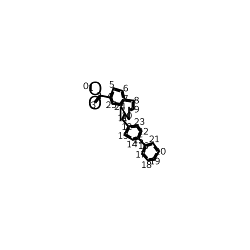 COC(=O)c1ccc2ccn(Cc3ccc(-c4ccccc4)cc3)c2c1